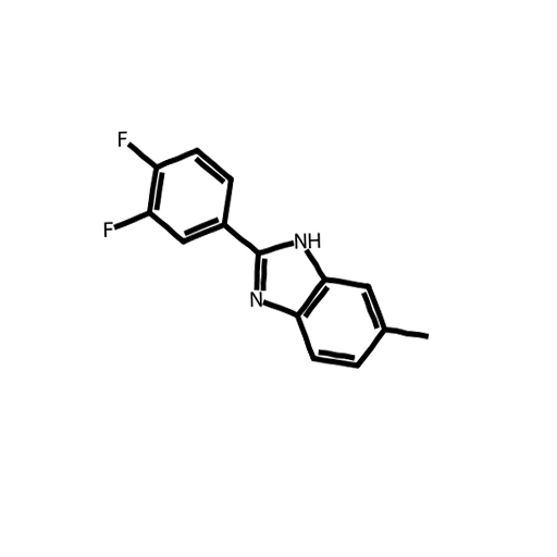 Cc1ccc2nc(-c3ccc(F)c(F)c3)[nH]c2c1